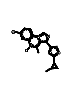 Cc1c2c(-c3noc(C4CC4C)n3)ncn2c2ccc(Cl)cc2[n+]1[O-]